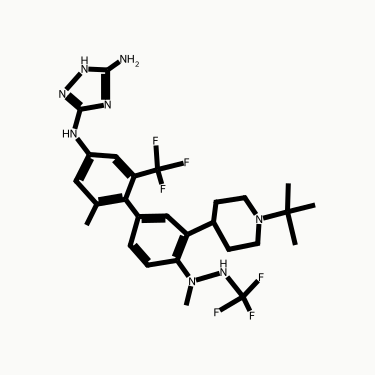 Cc1cc(Nc2n[nH]c(N)n2)cc(C(F)(F)F)c1-c1ccc(N(C)NC(F)(F)F)c(C2CCN(C(C)(C)C)CC2)c1